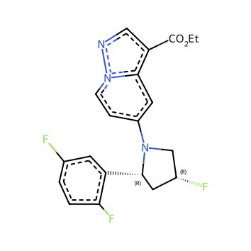 CCOC(=O)c1cnn2ccc(N3C[C@H](F)C[C@@H]3c3cc(F)ccc3F)cc12